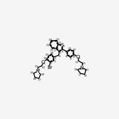 Brc1cc(Cc2c(-c3ccc(OCCN4CCCC4)cc3)sc3ccccc23)ccc1OCCN1CCCC1